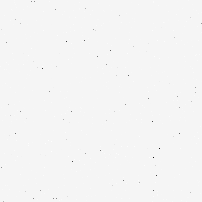 O=C(O)c1ccccc1Oc1cccc(OCCc2ccc(C(F)(F)F)cc2)c1